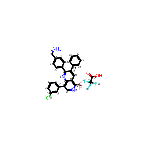 NCc1ccc(-c2nc3c(-c4cccc(Cl)c4)cnc(O)c3cc2-c2ccccc2)cc1.O=C(O)C(F)(F)F